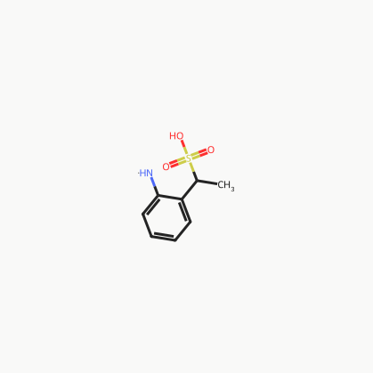 CC(c1ccccc1[NH])S(=O)(=O)O